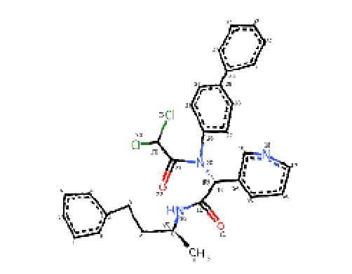 C[C@@H](CCc1ccccc1)NC(=O)[C@@H](c1cccnc1)N(C(=O)C(Cl)Cl)c1ccc(-c2ccccc2)cc1